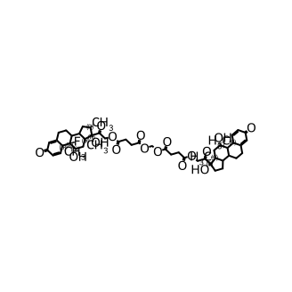 C[C@@H]1CC2C3CCC4=CC(=O)C=C[C@]4(C)[C@@]3(F)[C@@H](O)C[C@]2(C)[C@@]1(O)C(=O)COC(=O)CCC(=O)OCOC(=O)CCC(=O)OCC(=O)[C@@]1(O)CCC2C3CCC4=CC(=O)C=C[C@]4(C)C3[C@@H](O)C[C@@]21C